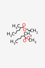 C=CCOC(=O)C(C)CCCC.CCCCC(C)C(=O)OC